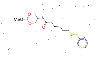 COC1OCC(NC(=O)CCCCCSSc2ccccn2)CO1